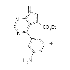 CCOC(=O)c1c[nH]c2ncnc(-c3cc(N)cc(F)c3)c12